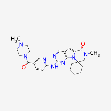 CN1CCN(C(=O)c2ccc(Nc3ncc4cc5n(c4n3)C3(CCCCC3)CN(C)C5=O)nc2)CC1